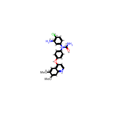 COc1cc2nccc(Oc3ccc(N(C(N)=O)c4ccc(Cl)c(N)c4)cc3)c2cc1OC